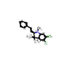 CN1C(=CCc2ccccc2)C(C)(C)c2cc(Cl)c(Cl)cc21